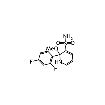 COC1(c2ccc(F)cc2F)NC=CC=C1S(N)(=O)=O